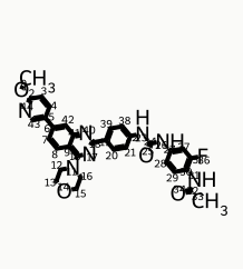 COc1ccc(-c2ccc3c(N4CCOCC4)nc(-c4ccc(NC(=O)Nc5ccc(NC(C)=O)c(F)c5)cc4)nc3c2)cn1